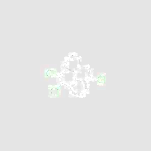 Clc1cc2cccc3c2c2c(cccc12)C(Cl)C3Cl